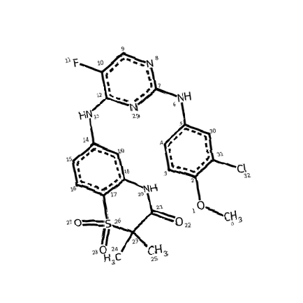 COc1ccc(Nc2ncc(F)c(Nc3ccc4c(c3)NC(=O)C(C)(C)S4(=O)=O)n2)cc1Cl